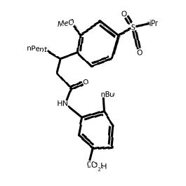 CCCCCC(CC(=O)Nc1cc(C(=O)O)ccc1CCCC)c1ccc(S(=O)(=O)C(C)C)cc1OC